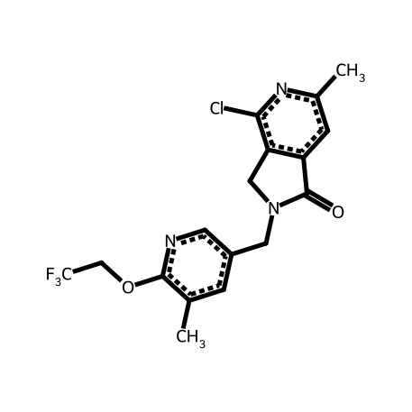 Cc1cc2c(c(Cl)n1)CN(Cc1cnc(OCC(F)(F)F)c(C)c1)C2=O